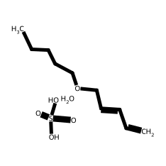 C=CC=CCOCCCCC.O.O=S(=O)(O)O